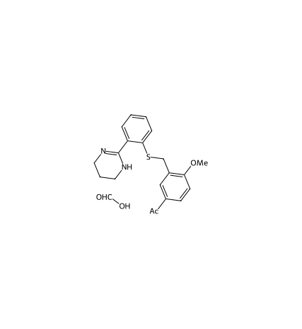 COc1ccc(C(C)=O)cc1CSc1ccccc1C1=NCCCN1.O=CO